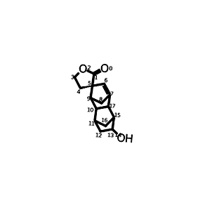 O=C1OCC[C@]12C=C1CC2C2C3CC(O)C(C3)C12